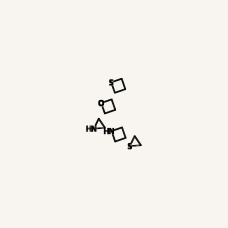 C1CN1.C1CNC1.C1COC1.C1CS1.C1CSC1